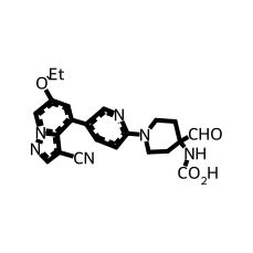 CCOc1cc(-c2ccc(N3CCC(C=O)(NC(=O)O)CC3)nc2)c2c(C#N)cnn2c1